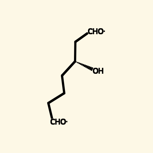 O=[C]CCC[C@@H](O)C[C]=O